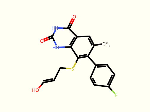 O=c1[nH]c(=O)c2cc(C(F)(F)F)c(-c3ccc(F)cc3)c(SC/C=C/O)c2[nH]1